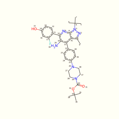 Cc1nn(C(C)(C)C)c2nc(-c3ccc(O)cc3F)c(N)c(-c3ccc(N4CCN(C(=O)OC(C)(C)C)CC4)cc3)c12